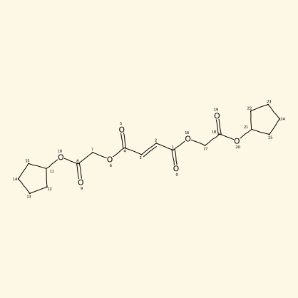 O=C(/C=C/C(=O)OCC(=O)OC1CCCC1)OCC(=O)OC1CCCC1